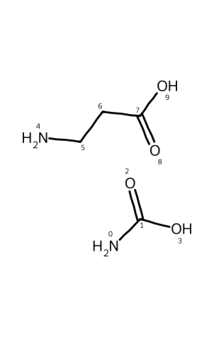 NC(=O)O.NCCC(=O)O